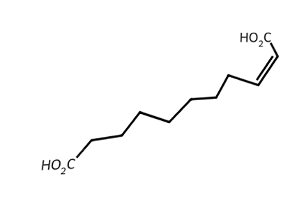 O=C(O)/C=C\CCCCCCCC(=O)O